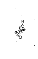 COc1ccccc1Cc1c[nH]cc1S(=O)(=O)Nc1ccc(C#N)cc1F